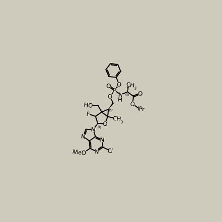 COc1nc(Cl)nc2c1ncn2[C@@H]1OC2(C)[C@H](COP(=O)(N[C@@H](C)C(=O)OC(C)C)Oc3ccccc3)C2(CO)C1F